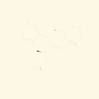 CC[C@H](NC(=O)OC(C)(C)C)c1nc2c(C)cccc2c(=O)n1-c1cc(F)cc(F)c1